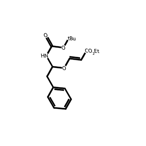 CCOC(=O)C=COC(Cc1ccccc1)NC(=O)OC(C)(C)C